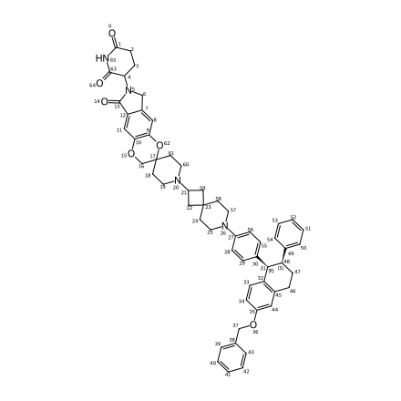 O=C1CCC(N2Cc3cc4c(cc3C2=O)OCC2(CCN(C3CC5(CCN(c6ccc([C@@H]7c8ccc(OCc9ccccc9)cc8CC[C@@H]7c7ccccc7)cc6)CC5)C3)CC2)O4)C(=O)N1